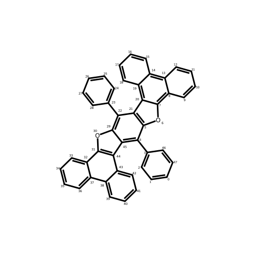 c1ccc(-c2c3oc4c5ccccc5c5ccccc5c4c3c(-c3ccccc3)c3oc4c5ccccc5c5ccccc5c4c23)cc1